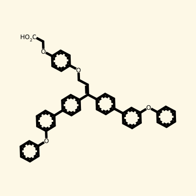 O=C(O)COc1ccc(OCC=C(c2ccc(-c3cccc(Oc4ccccc4)c3)cc2)c2ccc(-c3cccc(Oc4ccccc4)c3)cc2)cc1